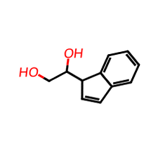 OCC(O)C1C=Cc2ccccc21